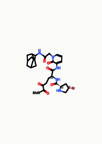 CNC(=O)C(=O)CC[C@H](NC(=O)[C@@H]1C[C@H](Br)CN1)C(=O)Nc1cccn(CC(=O)NC2C3CC4CC(C3)CC2C4)c1=O